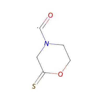 O=[C]N1CCOC(=S)C1